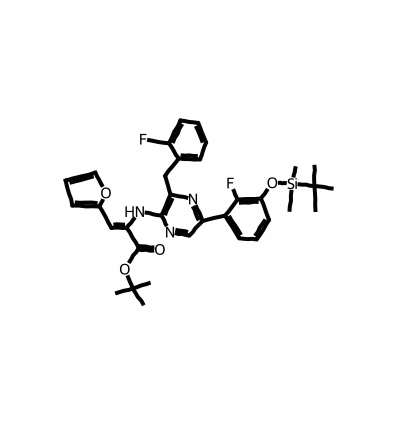 CC(C)(C)OC(=O)/C(=C/c1ccco1)Nc1ncc(-c2cccc(O[Si](C)(C)C(C)(C)C)c2F)nc1Cc1ccccc1F